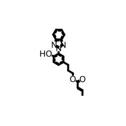 CC=CC(=O)OCCCc1ccc(O)c(-n2nc3ccccc3n2)c1